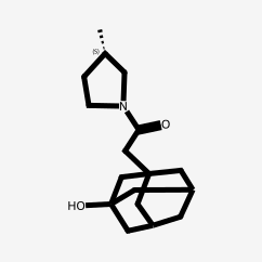 C[C@H]1CCN(C(=O)CC23CC4CC(CC(O)(C4)C2)C3)C1